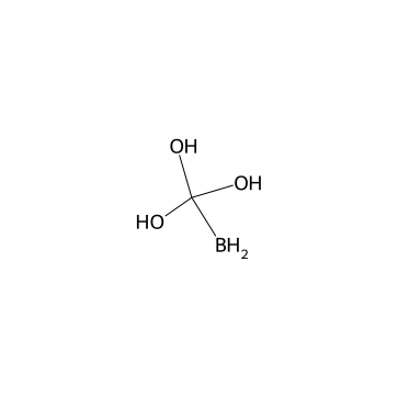 BC(O)(O)O